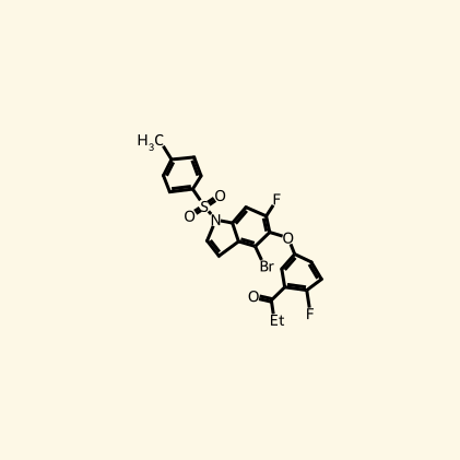 CCC(=O)c1cc(Oc2c(F)cc3c(ccn3S(=O)(=O)c3ccc(C)cc3)c2Br)ccc1F